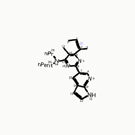 C/C=C(/C)c1nc(-c2cnc3[nH]ccc3c2)nc(N(CCC)CCCCC)c1C